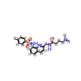 Cc1ccc(S(=O)(=O)Nc2cccc3ccc(CNC(=O)CCCN(C)C)nc23)cc1